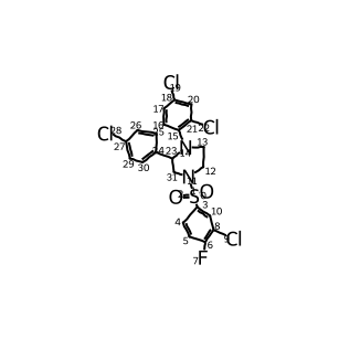 O=S(=O)(c1ccc(F)c(Cl)c1)N1CCN(c2ccc(Cl)cc2Cl)C(c2ccc(Cl)cc2)C1